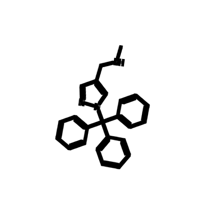 CBCc1cnn(C(c2ccccc2)(c2ccccc2)c2ccccc2)c1